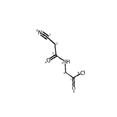 N#CCC(=O)NCC(=O)Cl